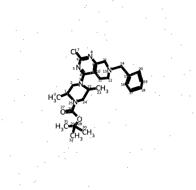 CC1CN(c2nc(Cl)nc3c2CCN(Cc2ccccc2)C3)C(C)CN1C(=O)OC(C)(C)C